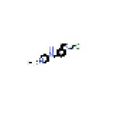 CN1CCC(NCc2ccc3c(ccn3CCCl)c2)CC1